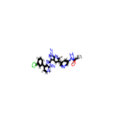 CCC(=O)Nc1cncc(-c2cnc3[nH]nc(-c4nc5c(-c6cccc(Cl)c6)ccnc5[nH]4)c3c2)c1